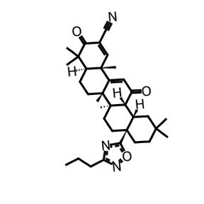 CCCc1noc([C@]23CCC(C)(C)C[C@H]2[C@H]2C(=O)C=C4[C@@]5(C)C=C(C#N)C(=O)C(C)(C)[C@@H]5CC[C@@]4(C)[C@]2(C)CC3)n1